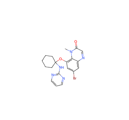 Cn1c(=O)cnc2cc(Br)cc(OC3(Nc4ncccn4)CCCCC3)c21